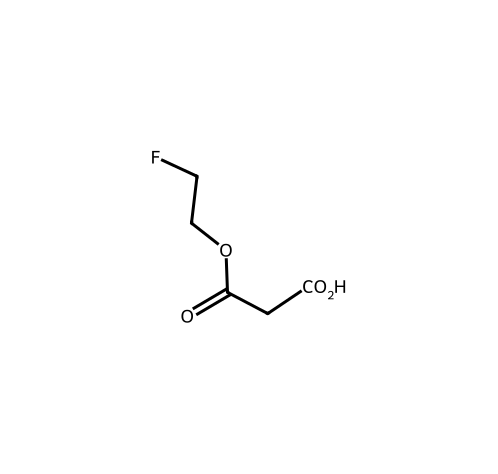 O=C(O)CC(=O)OCCF